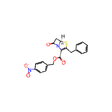 O=C(OCc1ccc([N+](=O)[O-])cc1)C1=C(Cc2ccccc2)S[C@@H]2CC(=O)N12